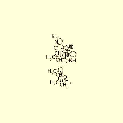 CC(C)(C)OC(=O)N1C[C@@H](CCC(Nc2cccc(S(=O)(=O)NC(=O)c3ccc(Br)nc3Cl)n2)c2cc(C(C)(C)C)ccn2)CC1(C)C